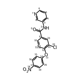 O=C(Nc1cccnc1)c1cnc(Oc2ccc([N+](=O)[O-])cc2)c(Cl)c1